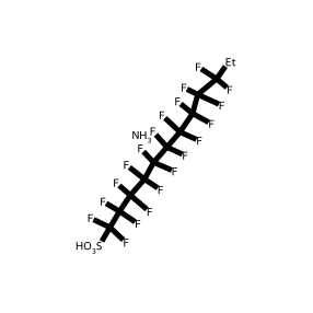 CCC(F)(F)C(F)(F)C(F)(F)C(F)(F)C(F)(F)C(F)(F)C(F)(F)C(F)(F)C(F)(F)C(F)(F)S(=O)(=O)O.N